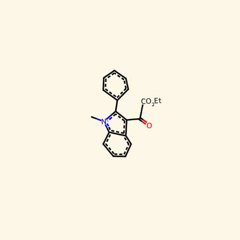 CCOC(=O)C(=O)c1c(-c2ccccc2)n(C)c2ccccc12